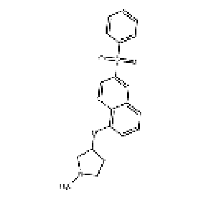 CN1CCC(Oc2cccc3cc(S(=O)(=O)c4ccccc4)cnc23)C1